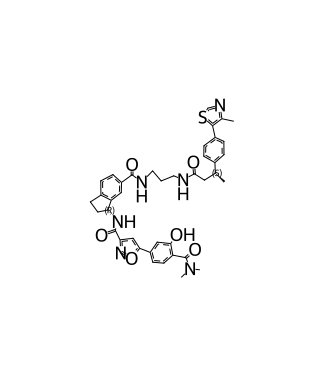 Cc1ncsc1-c1ccc([C@@H](C)CC(=O)NCCCNC(=O)c2ccc3c(c2)[C@H](NC(=O)c2cc(-c4ccc(C(=O)N(C)C)c(O)c4)on2)CC3)cc1